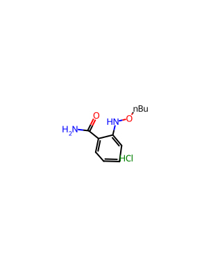 CCCCONc1ccccc1C(N)=O.Cl